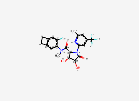 Cc1cc(C(F)(F)F)cc(N2C(=O)[C@@H](O)[C@@H](O)[C@H]2C(=O)N(C)c2cc3c(cc2F)CC3)n1